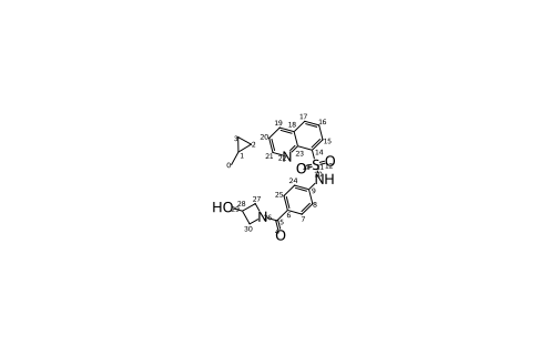 CC1CC1.O=C(c1ccc(NS(=O)(=O)c2cccc3cccnc23)cc1)N1CC(O)C1